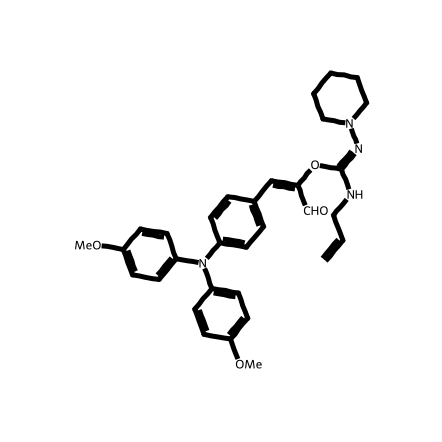 C=CCNC(=NN1CCCCC1)O/C(C=O)=C/c1ccc(N(c2ccc(OC)cc2)c2ccc(OC)cc2)cc1